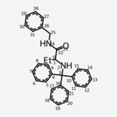 CCC(NC(c1ccccc1)(c1ccccc1)c1ccccc1)C(=O)NCc1ccccc1